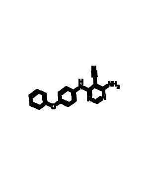 N#Cc1c(N)ncnc1Nc1ccc(Oc2ccccc2)cc1